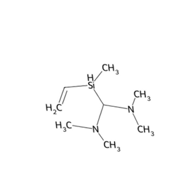 C=C[SiH](C)C(N(C)C)N(C)C